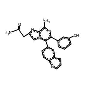 N#Cc1cccc(-c2nc(N)c3nc(CC(N)=O)cn3c2-c2ccc3ncccc3c2)c1